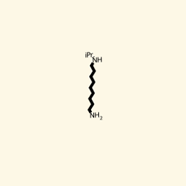 CC(C)NCCCCCCCCCN